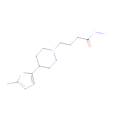 NNC(=O)CCCN1CCC(c2ccc(Cl)s2)CC1